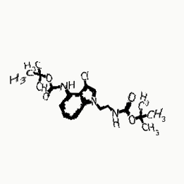 CC(C)(C)OC(=O)NCCn1cc(Cl)c2c(NC(=O)OC(C)(C)C)cccc21